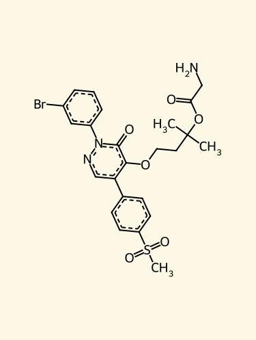 CC(C)(CCOc1c(-c2ccc(S(C)(=O)=O)cc2)cnn(-c2cccc(Br)c2)c1=O)OC(=O)CN